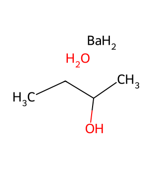 CCC(C)O.O.[BaH2]